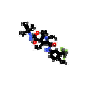 C#CC(C)(C)NC(=O)C(=O)c1c(C)c(C(=O)Nc2ccc(C)c(C(F)(F)F)c2)n(C)c1C